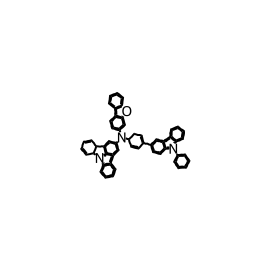 C1=CC2c3cc(N(c4ccc5c(c4)oc4ccccc45)C4C=CC(c5ccc6c(c5)c5ccccc5n6-c5ccccc5)=CC4)cc4c5ccccc5n(c34)C2C=C1